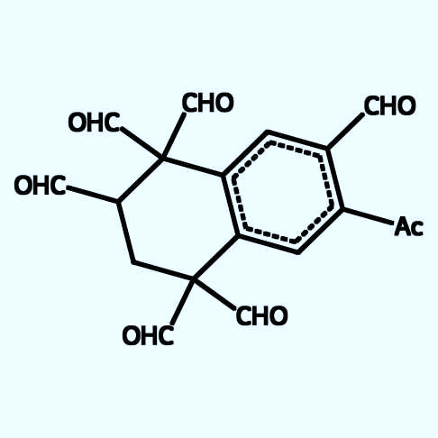 CC(=O)c1cc2c(cc1C=O)C(C=O)(C=O)C(C=O)CC2(C=O)C=O